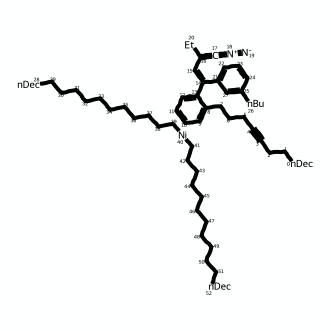 CCCCCCCCCCCCC#CCCCc1ccccc1C(=CC(=C=[N+]=[N-])CC)c1cccc(CCCC)c1.CCCCCCCCCCCCCCCCCCCC[CH2][Ni][CH2]CCCCCCCCCCCCCCCCCCCC